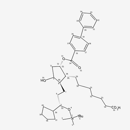 CC(C)(C)[Si](C)(C)O[C@@H](CC[C@H]1C(O)C[C@H](OC(=O)c2ccc(-c3ccccc3)cc2)[C@@H]1CCCCCCC(=O)O)C1CCCC1